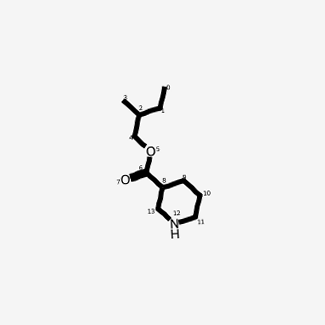 CCC(C)COC(=O)C1CCCNC1